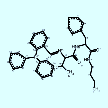 CCCCNC(=O)C(Cc1ccccc1)NC(=O)C(N=Cc1ccccc1P(c1ccccc1)c1ccccc1)C(C)C